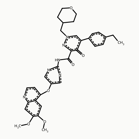 CCc1ccc(-c2cn(CC3CCOCC3)nc(C(=O)Nc3ncc(Oc4ccnc5cc(OC)c(OC)cc45)cn3)c2=O)cc1